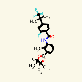 Cc1c(NC(=O)c2ccc(C(C)(C)C(F)(F)F)cc2F)cccc1B1OC(C)(C)C(C)(C)O1